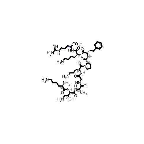 C[C@H](NC(=O)[C@@H](NC(=O)[C@@H](N)CCCCN)[C@@H](O)CN)C(=O)NCC(=O)N[C@H](CCCN)C(=O)N1CCC[C@H]1C(=O)N[C@@H](CCc1ccccc1)C(=O)N[C@@H](CCCCN)C(=O)N/C(=C\CCNC(=N)N)C(=O)O